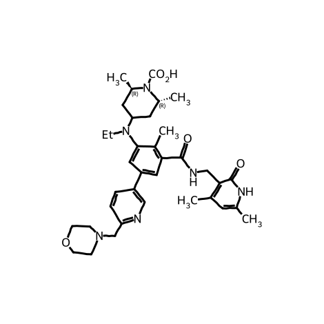 CCN(c1cc(-c2ccc(CN3CCOCC3)nc2)cc(C(=O)NCc2c(C)cc(C)[nH]c2=O)c1C)C1C[C@@H](C)N(C(=O)O)[C@H](C)C1